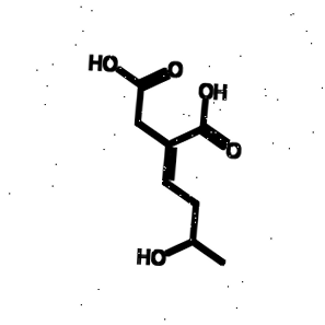 CC(O)CC=C(CC(=O)O)C(=O)O